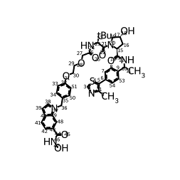 Cc1ncsc1-c1ccc([C@H](C)NC(=O)[C@@H]2C[C@@H](O)CN2C(=O)[C@@H](NC(=O)COCCOc2ccc(Cn3ccc4ccc(C(=O)NO)cc43)cc2)C(C)(C)C)cc1